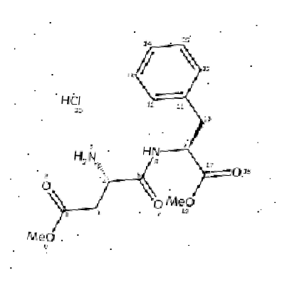 COC(=O)C[C@H](N)C(=O)N[C@@H](Cc1ccccc1)C(=O)OC.Cl